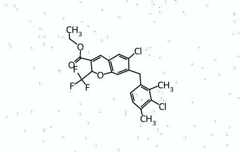 CCOC(=O)C1=Cc2cc(Cl)c(Cc3ccc(C)c(Cl)c3C)cc2OC1C(F)(F)F